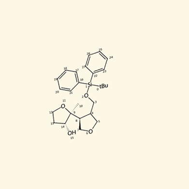 CC(C)(C)[Si](OCC1COC[C@H]1[C@]1(C)OCC[C@H]1O)(c1ccccc1)c1ccccc1